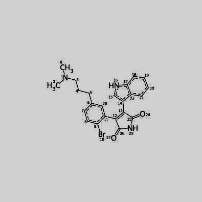 CN(C)CCCc1ccc(Br)c(C2=C(c3c[nH]c4ccccc34)C(=O)NC2=O)c1